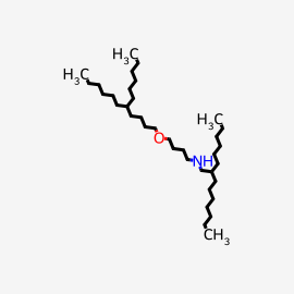 CCCCCCCC(CCCCCC)CNCCCCOCCCCC(CCCCCC)CCCCCC